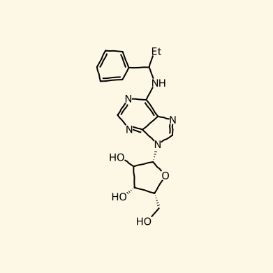 CCC(Nc1ncnc2c1ncn2[C@@H]1O[C@H](CO)[C@H](O)C1O)c1ccccc1